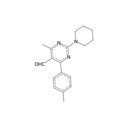 Cc1ccc(-c2nc(N3CCCCC3)nc(C)c2C=O)cc1